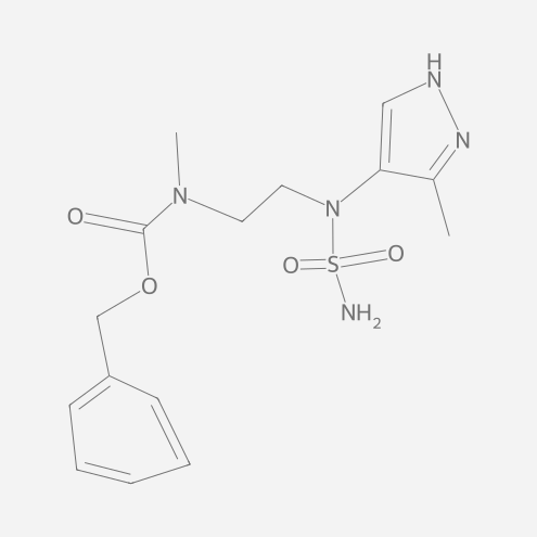 Cc1n[nH]cc1N(CCN(C)C(=O)OCc1ccccc1)S(N)(=O)=O